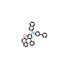 c1ccc(-c2ccc(N(c3ccc4ccccc4c3)c3cc(-c4ccccc4)c4c(c3)oc3ccc5ccccc5c34)cc2)cc1